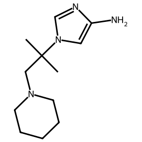 CC(C)(CN1CCCCC1)n1cnc(N)c1